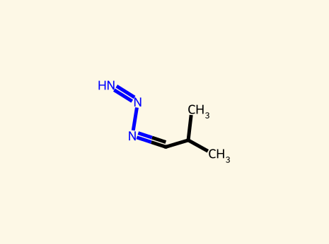 CC(C)/C=N\N=N